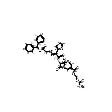 CC(C)(C)C(=O)OCOC(=O)C1=CN2C(=O)C(NC(=O)C(=NOCC(=O)OC(c3ccccc3)c3ccccc3)c3cscn3)[C@H]2SC1